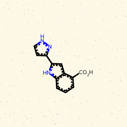 O=C(O)c1cccc2[nH]c(-c3cc[nH]n3)cc12